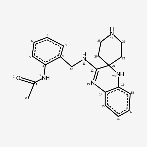 CC(=O)Nc1ccccc1CNC1=Nc2ccccc2NC12CCNCC2